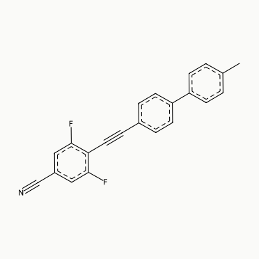 Cc1ccc(-c2ccc(C#Cc3c(F)cc(C#N)cc3F)cc2)cc1